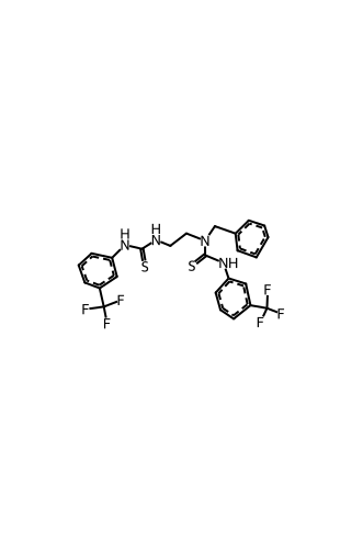 FC(F)(F)c1cccc(NC(=S)NCCN(Cc2ccccc2)C(=S)Nc2cccc(C(F)(F)F)c2)c1